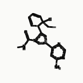 CCC1(Cl)C=CC=CC1c1cc(-c2cc(N)ncn2)cn1C(=O)NC